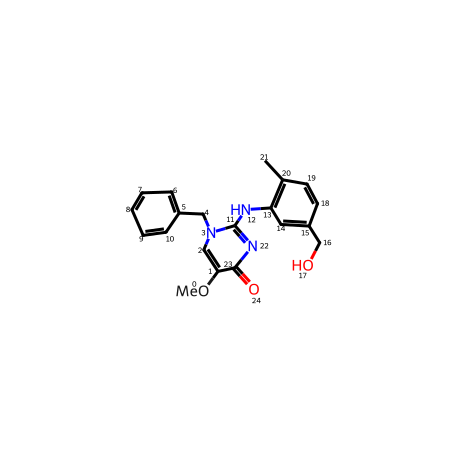 COc1cn(Cc2ccccc2)c(Nc2cc(CO)ccc2C)nc1=O